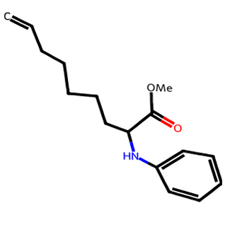 C=CCCCCCC(Nc1ccccc1)C(=O)OC